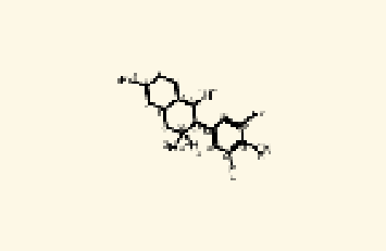 [2H]C1C2CCC(CCC)CC2CC([2H])([2H])C1c1cc(F)c(C#N)c(F)c1